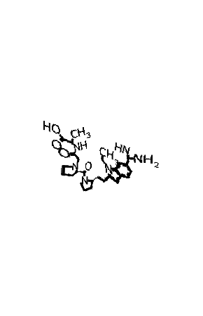 CCn1c(CC[C@@H]2CCCN2C(=O)[C@H]2CCCN2CC(=O)NC(C)C(=O)O)cc2ccc(C(=N)N)cc21